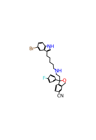 N#Cc1ccc2c(c1)COC2(CCNCCCCCc1c[nH]c2ccc(Br)cc12)c1ccc(F)cc1